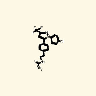 NC(=O)NCCc1ccc(-c2cc(C(F)(F)F)nn2-c2ccc(Cl)cc2)cc1